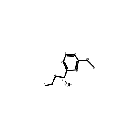 CCC[C@@H](O)c1cccc(CC)c1